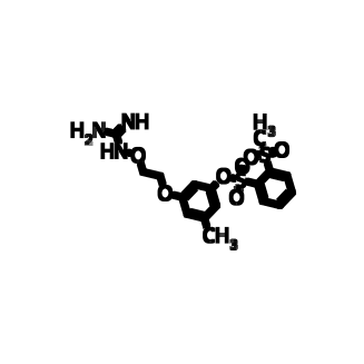 Cc1cc(OCCONC(=N)N)cc(OS(=O)(=O)c2ccccc2S(C)(=O)=O)c1